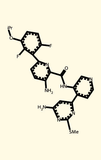 CSc1nc(N)cc(-c2ccncc2NC(=O)c2nc(-c3c(F)ccc(OC(C)C)c3F)ccc2N)n1